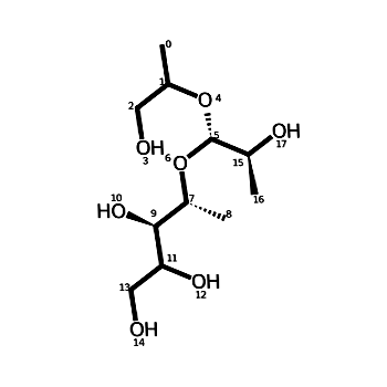 CC(CO)O[C@@H](O[C@H](C)[C@H](O)C(O)CO)[C@H](C)O